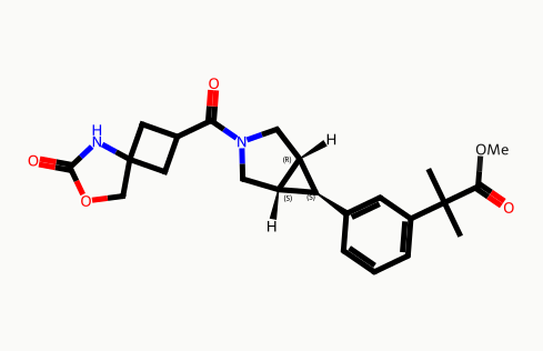 COC(=O)C(C)(C)c1cccc([C@H]2[C@@H]3CN(C(=O)C4CC5(COC(=O)N5)C4)C[C@@H]32)c1